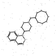 C1=NSN(C2CCN(CC3CCCCCCC3)CC2)c2ccccc21